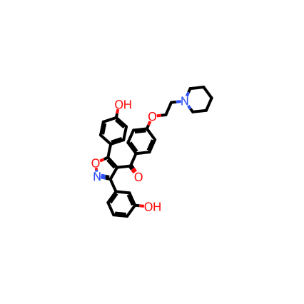 O=C(c1ccc(OCCN2CCCCC2)cc1)c1c(-c2cccc(O)c2)noc1-c1ccc(O)cc1